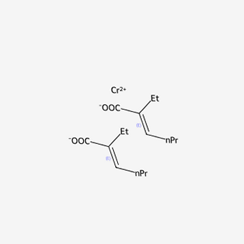 CCC/C=C(\CC)C(=O)[O-].CCC/C=C(\CC)C(=O)[O-].[Cr+2]